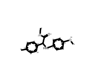 COC(=O)C(Nc1ccc(OC)cc1)c1ccc(C)cc1